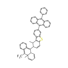 CC1c2c(sc3cc(-c4c5ccccc5c(-c5ccccc5)c5ccccc45)ccc23)C=CC1C1=c2ccccc2=C(C(F)(F)F)C2(C)C=CC=CC12